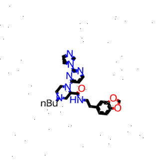 CCCCN1CCN(c2ccnc(-n3ccnc3)n2)C(C(=O)NCCc2ccc3c(c2)OCO3)C1